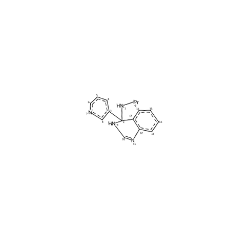 CC(C)NC1(c2cccnc2)NC=Nc2ccccc21